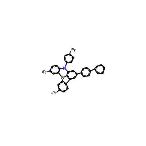 CC(C)c1ccc(N2c3ccc(C(C)C)cc3B3c4cc(C(C)C)ccc4-c4cc(-c5ccc(-c6ccccc6)cc5)cc2c43)cc1